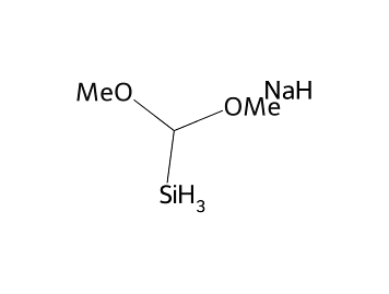 COC([SiH3])OC.[NaH]